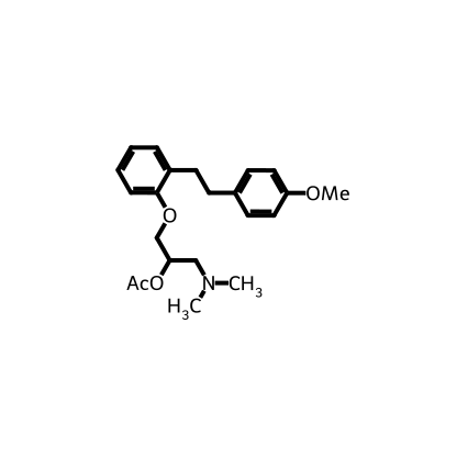 COc1ccc(CCc2ccccc2OCC(CN(C)C)OC(C)=O)cc1